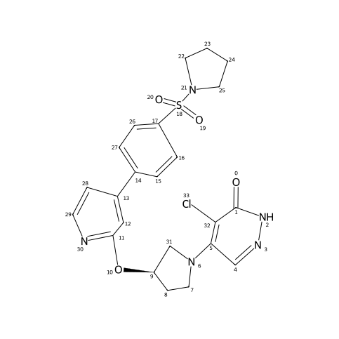 O=c1[nH]ncc(N2CC[C@@H](Oc3cc(-c4ccc(S(=O)(=O)N5CCCC5)cc4)ccn3)C2)c1Cl